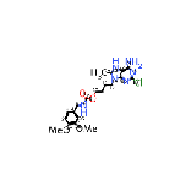 COc1ccc(CNC(=O)OCCCCN2c3nc(Cl)nc(N)c3NC2C)cc1OC